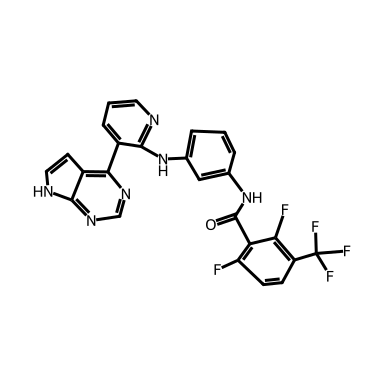 O=C(Nc1cccc(Nc2ncccc2-c2ncnc3[nH]ccc23)c1)c1c(F)ccc(C(F)(F)F)c1F